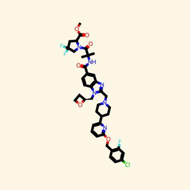 COC(=O)C1CC(F)(F)CN1C(=O)C(C)(C)NC(=O)c1ccc2c(c1)nc(CN1CCC(c3cccc(OCc4ccc(Cl)cc4F)n3)CC1)n2C[C@@H]1CCO1